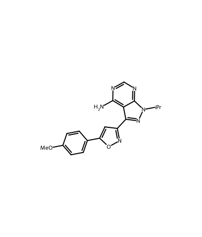 COc1ccc(-c2cc(-c3nn(C(C)C)c4ncnc(N)c34)no2)cc1